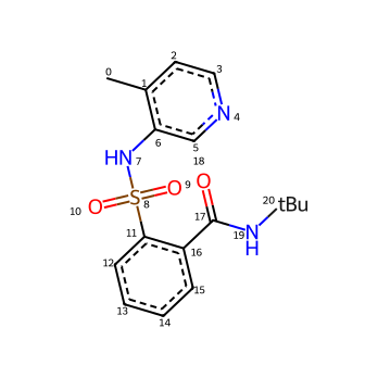 Cc1ccncc1NS(=O)(=O)c1ccccc1C(=O)NC(C)(C)C